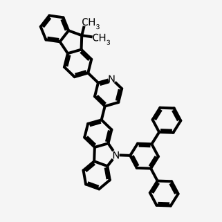 CC1(C)c2ccccc2-c2ccc(-c3cc(-c4ccc5c6ccccc6n(-c6cc(-c7ccccc7)cc(-c7ccccc7)c6)c5c4)ccn3)cc21